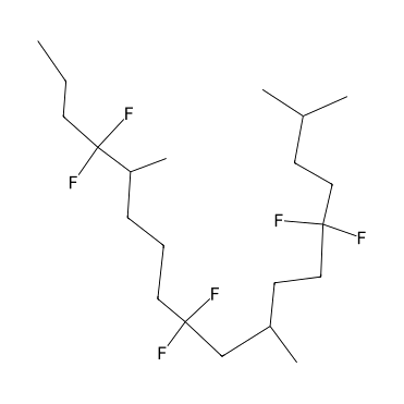 CCCC(F)(F)C(C)CCCC(F)(F)CC(C)CCC(F)(F)CCC(C)C